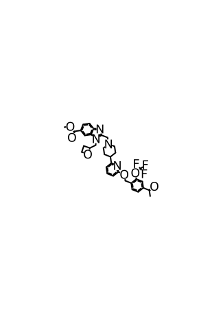 COC(=O)c1ccc2nc(CN3CCC(c4cccc(OCc5ccc(C(C)=O)cc5OC(F)(F)F)n4)CC3)n(CC3CCO3)c2c1